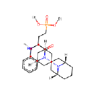 CCOP(=O)(CCC1Nc2ccccc2N([C@H]2C[C@H]3CCC[C@@H](C2)N3[C@H]2C[C@@H]3C[C@@H](C)C[C@@H](C3)C2)C1=O)OCC